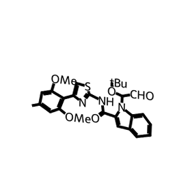 COc1cc(C)cc(OC)c1-c1csc(NC(=O)c2cc3ccccc3n2C(C=O)OC(C)(C)C)n1